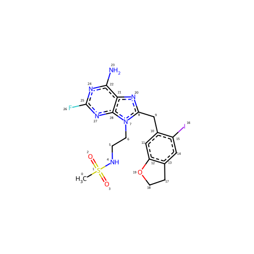 CS(=O)(=O)NCCn1c(Cc2cc3c(cc2I)CCO3)nc2c(N)nc(F)nc21